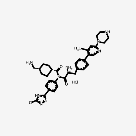 Cc1cc(N2CCNCC2)ncc1-c1ccc(C[C@H](N)C(=O)N(c2ccc(-c3nnc(Cl)[nH]3)cc2)C(=O)[C@H]2CC[C@H](CN)CC2)cc1.Cl